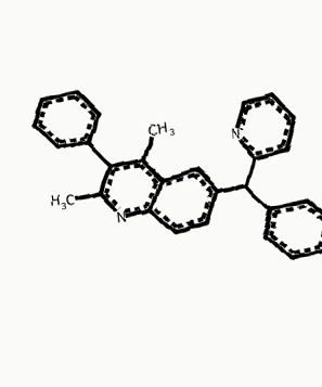 Cc1nc2ccc(C(c3cccnc3)c3ccccn3)cc2c(C)c1-c1ccccc1